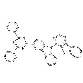 c1ccc(-c2nc(-c3ccccc3)nc(-c3ccc4c(c3)c3ccccc3n4-c3ncnc4c3sc3ccccc34)n2)cc1